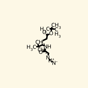 CC(C)(C)OC(=O)CC[C@H](NC(=O)CN=[N+]=[N-])C(C)(C)C